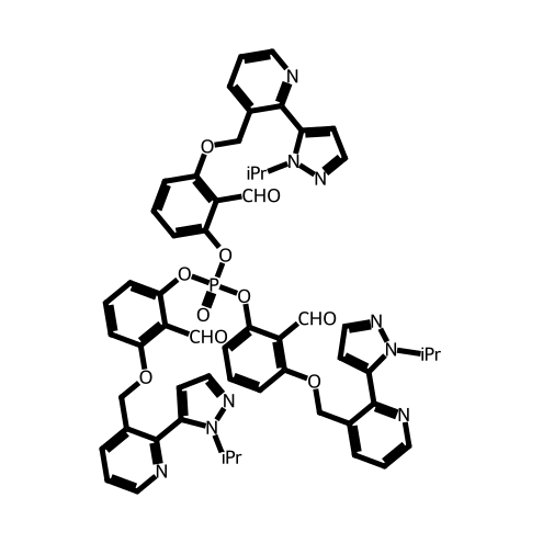 CC(C)n1nccc1-c1ncccc1COc1cccc(OP(=O)(Oc2cccc(OCc3cccnc3-c3ccnn3C(C)C)c2C=O)Oc2cccc(OCc3cccnc3-c3ccnn3C(C)C)c2C=O)c1C=O